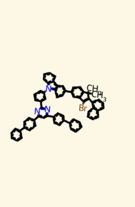 CC1(C)C(c2cccc3ccccc23)=C(Br)c2cc(-c3ccc4c(c3)c3ccccc3n4-c3cccc(-c4nc(-c5ccc(-c6ccccc6)cc5)cc(-c5ccc(-c6ccccc6)cc5)n4)c3)ccc21